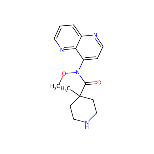 CON(C(=O)C1(C)CCNCC1)c1ccnc2cccnc12